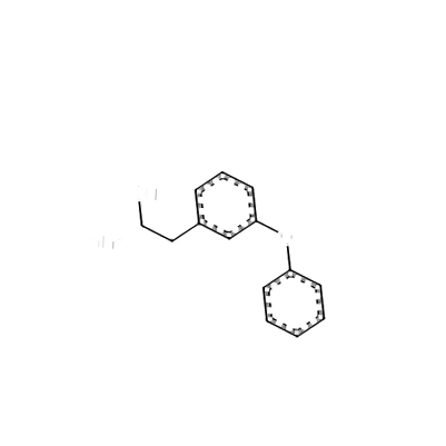 CCC[C@H](O)Cc1cccc(Oc2ccccc2)c1